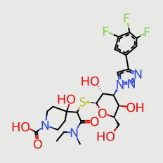 CCN(C)C(=O)C(S[C@@H]1O[C@H](CO)[C@H](O)[C@H](n2cc(-c3cc(F)c(F)c(F)c3)nn2)[C@H]1O)C1(O)CCN(C(=O)O)CC1